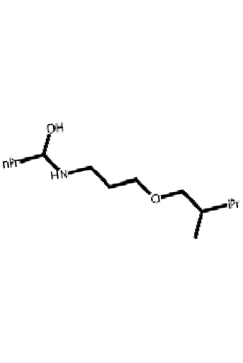 CCCC(O)NCCCOCC(C)C(C)C